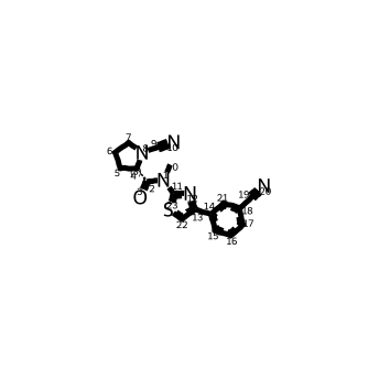 CN(C(=O)[C@@H]1CCCN1C#N)c1nc(-c2cccc(C#N)c2)cs1